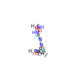 CNC(=O)CCC(C=O)Nc1ccc(C2CCN(CCC3CCN(Cc4ccc(-c5cn(C)c(=O)c(C)c5C)cc4OC(F)(F)F)CC3)CC2)c(F)c1